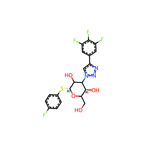 OCC1O[C@H](Sc2ccc(F)cc2)C(O)C(n2cc(-c3cc(F)c(F)c(F)c3)nn2)[C@H]1O